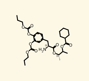 CCCOC(=O)Oc1ccc(C[C@H](N)C(=O)O[C@@H](C)C(C)OC(=O)C2CCCCC2)cc1OC(=O)OCCC